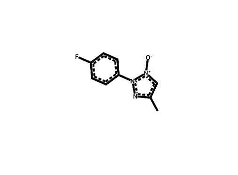 Cc1c[n+]([O-])n(-c2ccc(F)cc2)n1